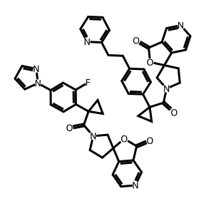 O=C1OC2(CCN(C(=O)C3(c4ccc(-n5cccn5)cc4F)CC3)C2)c2ccncc21.O=C1OC2(CCN(C(=O)C3(c4ccc(CCc5ccccn5)cc4)CC3)C2)c2ccncc21